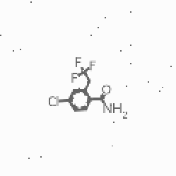 NC(=O)c1ccc(Cl)cc1CC(F)(F)F